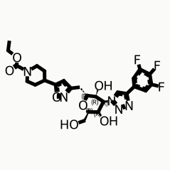 CCOC(=O)N1CCC(c2cc(C[C@H]3O[C@H](CO)[C@H](O)[C@H](n4cc(-c5cc(F)c(F)c(F)c5)nn4)[C@H]3O)no2)CC1